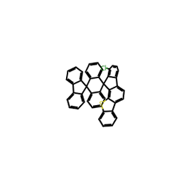 Clc1cccc2c1C1(c3ccccc3C3(c4ccccc4-c4ccccc43)c3ccccc31)c1c-2ccc2c1sc1ccccc12